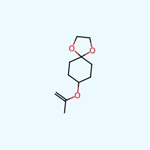 C=C(C)OC1CCC2(CC1)OCCO2